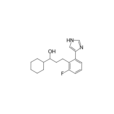 OC(CCc1c(F)cccc1-c1c[nH]cn1)C1CCCCC1